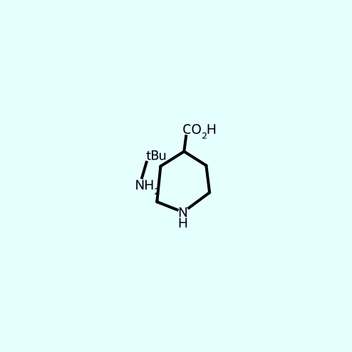 CC(C)(C)N.O=C(O)C1CCNCC1